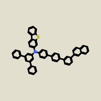 c1ccc(-c2cc(-c3ccccc3)cc(N(c3ccc(-c4ccc(-c5cccc(-c6ccc7ccccc7c6)c5)cc4)cc3)c3ccc4c(c3)sc3ccccc34)c2)cc1